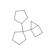 C1CCC(C2(C34CCC3C4)CCCC2)C1